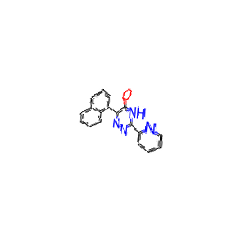 O=c1[nH]c(-c2ccccn2)nnc1-c1cccc2ccccc12